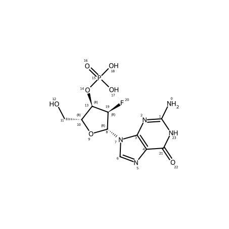 Nc1nc2c(ncn2[C@@H]2O[C@H](CO)[C@@H](OP(=O)(O)O)[C@H]2F)c(=O)[nH]1